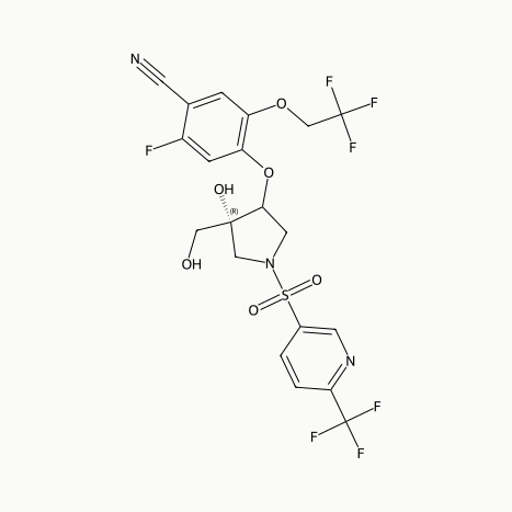 N#Cc1cc(OCC(F)(F)F)c(OC2CN(S(=O)(=O)c3ccc(C(F)(F)F)nc3)C[C@@]2(O)CO)cc1F